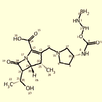 BNPOC(=O)N[C@@H]1CCN(CC2=C(C(=O)O)N3C(=O)C([C@@H](C)O)[C@H]3[C@H]2C)C1